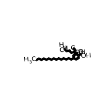 CCCCCCCCCCCCCCCCC1=CC(O)(C(CC)CCCCC)C(C(=O)O)C=C1